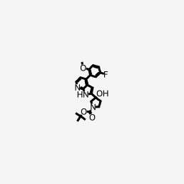 COc1ccc(F)cc1-c1ccnc2[nH]c(C3(O)CCN(C(=O)OC(C)(C)C)C3)cc12